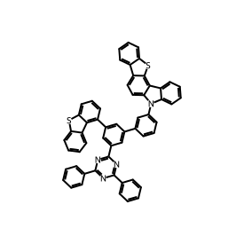 c1ccc(-c2nc(-c3ccccc3)nc(-c3cc(-c4cccc(-n5c6ccccc6c6c7sc8ccccc8c7ccc65)c4)cc(-c4cccc5sc6ccccc6c45)c3)n2)cc1